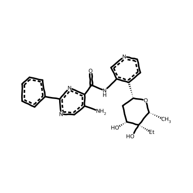 CC[C@]1(O)[C@H](O)C[C@H](c2ccncc2NC(=O)c2nc(-c3ccccc3)ncc2N)O[C@@H]1C